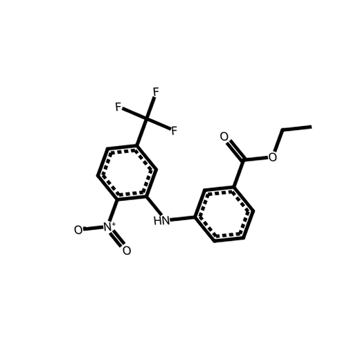 CCOC(=O)c1cccc(Nc2cc(C(F)(F)F)ccc2[N+](=O)[O-])c1